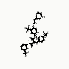 O=C(Nc1cccc(C(F)(F)F)c1)C(=Cc1ccc(C(F)(F)F)nc1)C(=O)Nc1ccc(OCCC2CNCCO2)c(C(F)(F)F)c1